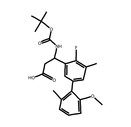 COc1cccc(C)c1-c1cc(C)c(F)c(C(CC(=O)O)NC(=O)OC(C)(C)C)c1